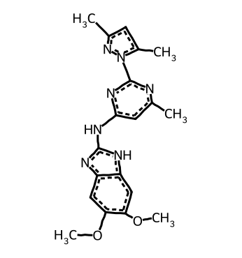 COc1cc2nc(Nc3cc(C)nc(-n4nc(C)cc4C)n3)[nH]c2cc1OC